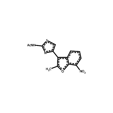 CC(=O)Nc1nc(-c2c(C)oc3c([N+](=O)[O-])cccc23)cs1